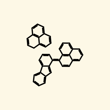 C1=Cc2cccc3cccc(c23)C1.C1=c2c(cccc2=c2ccc3cccc4cccc2c43)-c2ccccc21